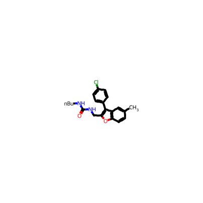 CCCCNC(=O)NCc1oc2ccc(C)cc2c1-c1ccc(Cl)cc1